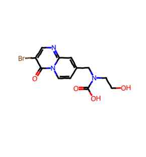 O=C(O)N(CCO)Cc1ccn2c(=O)c(Br)cnc2c1